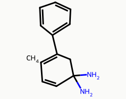 C.NC1(N)C=CC=C(c2ccccc2)C1